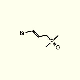 CP(C)(=O)C/C=C/Br